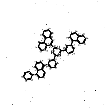 c1ccc(-c2cccc3c(-c4cccc(-c5nc(-c6cccc(-c7cccc8ccccc78)c6)nc(-c6cc7ccccc7c7ccccc67)n5)c4)cccc23)cc1